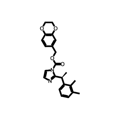 Cc1cccc([C@H](C)c2nccn2C(=O)OCc2ccc3c(c2)OCCO3)c1C